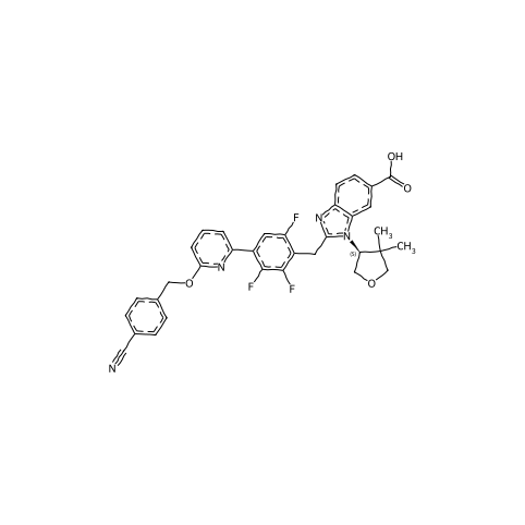 CC1(C)COC[C@H]1n1c(Cc2c(F)cc(-c3cccc(OCc4ccc(C#N)cc4)n3)c(F)c2F)nc2ccc(C(=O)O)cc21